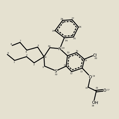 CCCCC1(CCCC)CSc2cc(OCC(=O)O)c(Cl)cc2N(c2ccccc2)C1